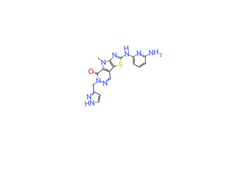 Cn1c2nc(Nc3cccc(N)n3)sc2c2cnn(Cc3cc[nH]n3)c(=O)c21